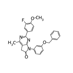 COc1ccc(-c2nc(C)c3c(n2)N(c2cccc(OCc4ccccc4)c2)C(=O)C3)cc1F